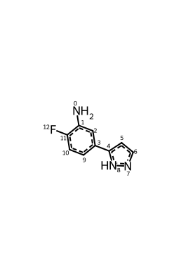 Nc1cc(-c2ccn[nH]2)ccc1F